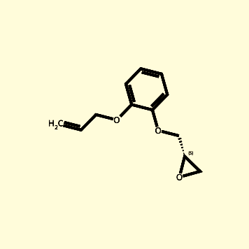 C=CCOc1ccccc1OC[C@@H]1CO1